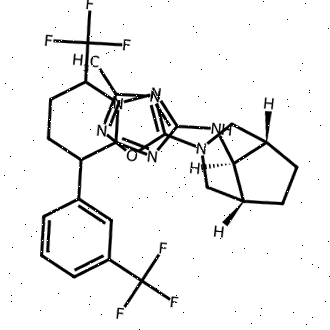 Cc1noc(N2C[C@H]3CC[C@@H](C2)[C@@H]3Nc2nc3n(n2)C(C(F)(F)F)CCC3c2cccc(C(F)(F)F)c2)n1